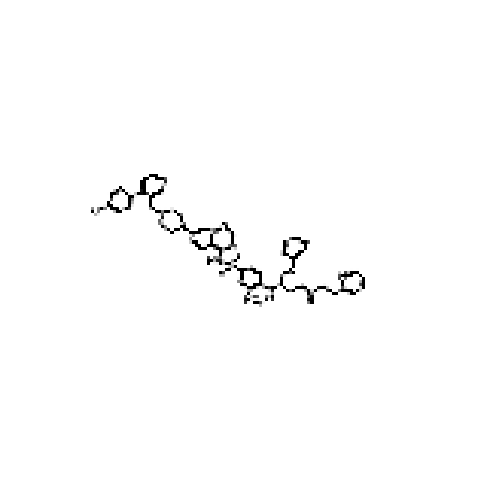 O=[N+]([O-])c1cc(S(=O)(=O)Nc2ncnc3cc(N4CCN(Cc5ccccc5-c5ccc(Cl)cc5)CC4)ccc23)ccc1NC(CCNCCc1ccccn1)CSc1ccccc1